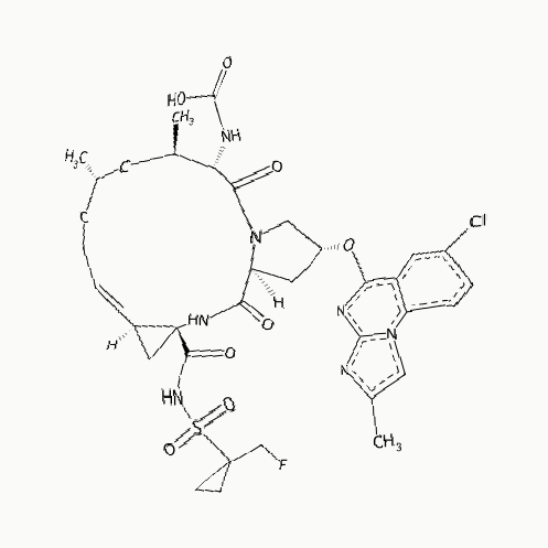 Cc1cn2c(n1)nc(O[C@@H]1C[C@H]3C(=O)N[C@]4(C(=O)NS(=O)(=O)C5(CF)CC5)C[C@H]4C=CCC[C@H](C)C[C@@H](C)[C@H](NC(=O)O)C(=O)N3C1)c1cc(Cl)ccc12